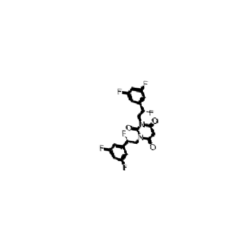 O=C1CC(=O)N(C[C@@H](F)c2cc(F)cc(F)c2)C(=O)N1C[C@@H](F)c1cc(F)cc(F)c1